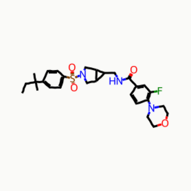 CCC(C)(C)c1ccc(S(=O)(=O)N2CC3C(CNC(=O)c4ccc(N5CCOCC5)c(F)c4)C3C2)cc1